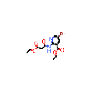 CCOC(=O)CC(=O)Nc1ncc(Br)cc1C(=O)OCC